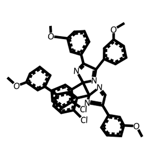 COc1cccc(C2=NC(c3cc(-c4cccc(OC)c4)ccc3Cl)(C3(c4ccccc4Cl)N=C(c4cccc(OC)c4)C(c4cccc(OC)c4)=N3)N=C2)c1